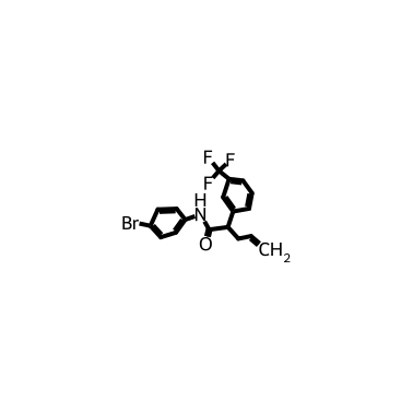 C=CCC(C(=O)Nc1ccc(Br)cc1)c1cccc(C(F)(F)F)c1